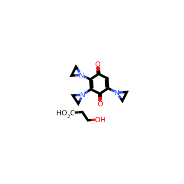 O=C(O)CCO.O=C1C=C(N2CC2)C(=O)C(N2CC2)=C1N1CC1